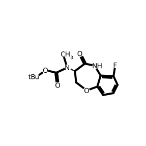 CN(C(=O)OC(C)(C)C)[C@H]1COc2cccc(F)c2NC1=O